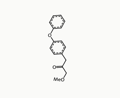 COCC(=O)Cc1ccc(Oc2ccccc2)cc1